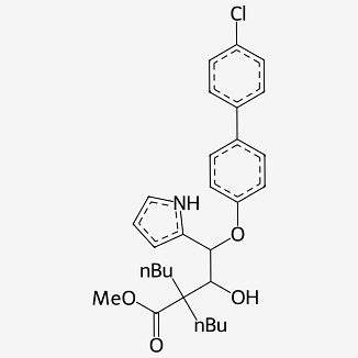 CCCCC(CCCC)(C(=O)OC)C(O)C(Oc1ccc(-c2ccc(Cl)cc2)cc1)c1ccc[nH]1